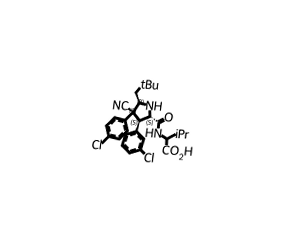 CC(C)C(NC(=O)[C@H]1N[C@H](CC(C)(C)C)[C@@](C#N)(c2ccc(Cl)cc2)[C@@H]1c1cccc(Cl)c1)C(=O)O